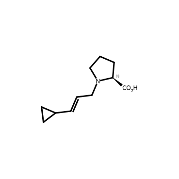 O=C(O)[C@@H]1CCCN1CC=CC1CC1